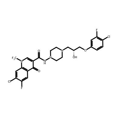 O=C(NN1CCN(C[C@@H](O)COc2ccc(Cl)c(F)c2)CC1)c1cn(C(F)(F)F)c2cc(Cl)c(F)cc2c1=O